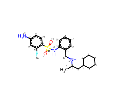 CC(CC1CCCCC1)NCc1ccccc1NS(=O)(=O)c1ccc(N)cc1F